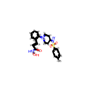 CC(C)c1ccc(S(=O)(=O)NC2CCN(c3ccccc3/C=C/C(=O)NO)CC2)cc1